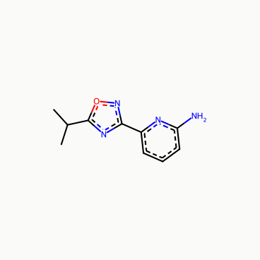 CC(C)c1nc(-c2cccc(N)n2)no1